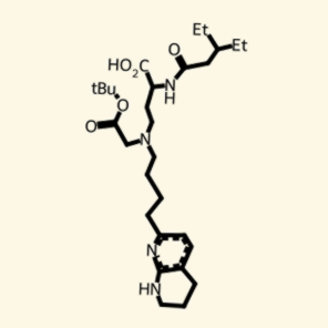 CCC(CC)CC(=O)NC(CCN(CCCCc1ccc2c(n1)NCCC2)CC(=O)OC(C)(C)C)C(=O)O